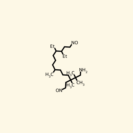 CCC(CCCC(C)CCCC(C)(CCN=O)C(C)(C)CN)C(CC)CCN=O